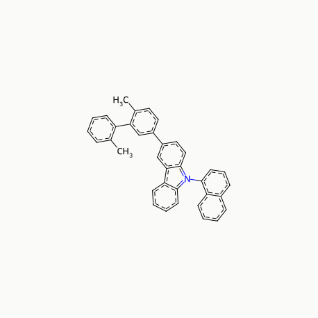 Cc1ccccc1-c1cc(-c2ccc3c(c2)c2ccccc2n3-c2cccc3ccccc23)ccc1C